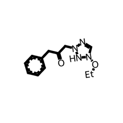 CCON1C=NN(CC(=O)Cc2ccccc2)N1